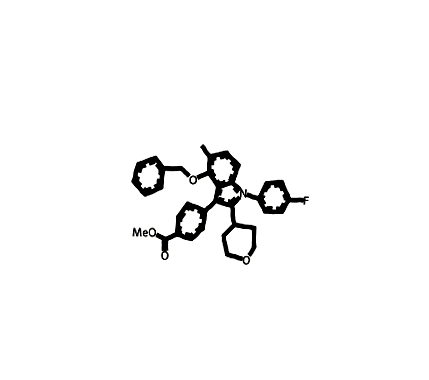 COC(=O)c1ccc(-c2c(C3CCOCC3)n(-c3ccc(F)cc3)c3ccc(C)c(OCc4ccccc4)c23)cc1